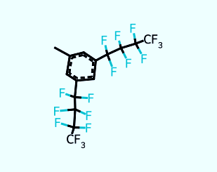 Cc1cc(C(F)(F)C(F)(F)C(F)(F)C(F)(F)F)cc(C(F)(F)C(F)(F)C(F)(F)C(F)(F)F)c1